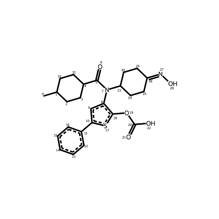 CC1CCC(C(=O)N(c2cc(-c3ccccc3)sc2OC(=O)O)C2CCC(=NO)CC2)CC1